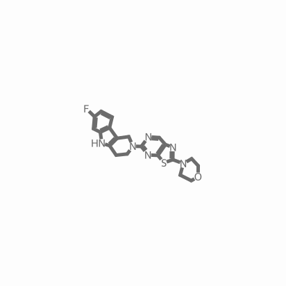 Fc1ccc2c3c([nH]c2c1)CCN(c1ncc2nc(N4CCOCC4)sc2n1)C3